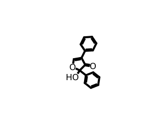 O=C1C(c2ccccc2)=COC1(O)c1ccccc1